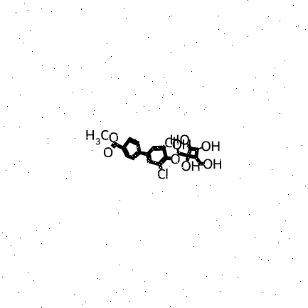 COC(=O)c1ccc(-c2cc(Cl)c(O[C@@H](O)C3(O)C(O)[C@H](O)C3CO)c(Cl)c2)cc1